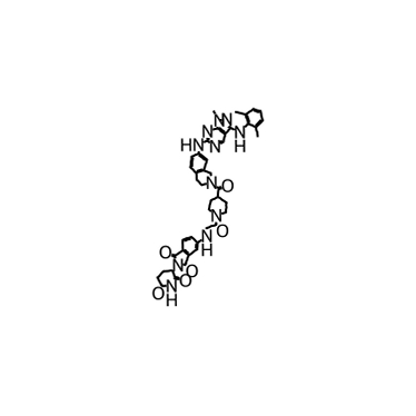 Cc1cccc(C)c1Nc1nn(C)c2nc(Nc3ccc4c(c3)CN(C(=O)C3CCN(C(=O)CNc5ccc6c(c5)C(=O)N(C5CCC(=O)NC5=O)C6=O)CC3)CC4)ncc12